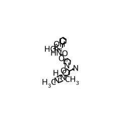 CN1CCN(C(C)(C)C=C(C#N)C(=O)N2CCC[C@H](OC(=O)N[C@@H](Cc3ccccc3)B(O)O)C2)CC1